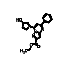 CCOC(=O)c1cc2nc(-c3ccccc3)cc(N3CCC(O)C3)n2n1